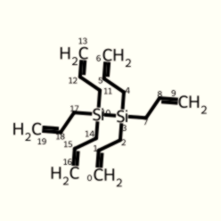 C=CC[Si](CC=C)(CC=C)[Si](CC=C)(CC=C)CC=C